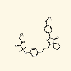 CC(C)(Oc1ccc(CCCC2=NN(c3ccc(OC(F)(F)F)cc3)C(=O)C23CCCC3)cc1)C(=O)NCC(F)(F)F